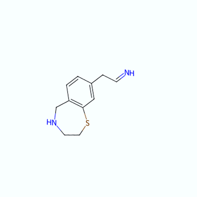 N=CCc1ccc2c(c1)SCCNC2